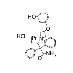 CC(C)CC(N1CC(Oc2cccc(O)c2)C1)C(C(N)=O)(c1ccccc1)c1ccccc1.Cl